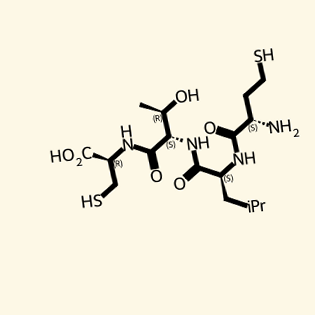 CC(C)C[C@H](NC(=O)[C@@H](N)CCS)C(=O)N[C@H](C(=O)N[C@@H](CS)C(=O)O)[C@@H](C)O